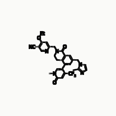 CCOc1cc(CN2CCc3c(cc(Cn4ccnc4C)cc3-c3cn(C)c(=O)cc3C(F)(F)F)C2=O)ncc1C#N